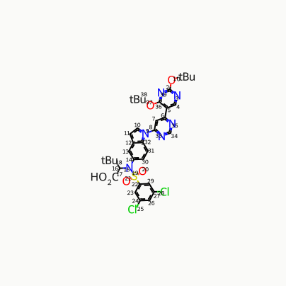 CC(C)(C)Oc1ncc(-c2cc(-n3ccc4cc(N(C(C(=O)O)C(C)(C)C)S(=O)(=O)c5cc(Cl)cc(Cl)c5)ccc43)ncn2)c(OC(C)(C)C)n1